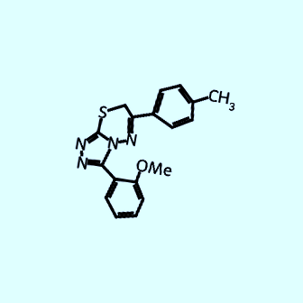 COc1ccccc1-c1nnc2n1N=C(c1ccc(C)cc1)CS2